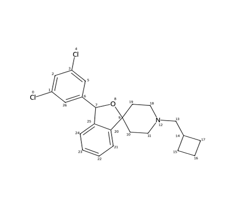 Clc1cc(Cl)cc(C2OC3(CCN(CC4CCC4)CC3)c3ccccc32)c1